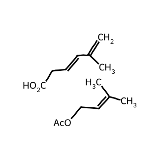 C=C(C)C=CCC(=O)O.CC(=O)OCC=C(C)C